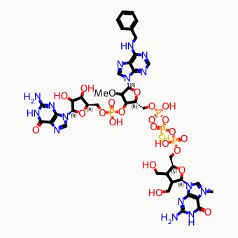 COC1C(OP(=O)(O)OC[C@H]2O[C@@H](n3cnc4c(=O)[nH]c(N)nc43)C(O)C2O)[C@@H](COP(=O)(O)OP(=O)(S)OP(=O)(O)OC[C@H]2O[C@@H](n3c[n+](C)c4c(=O)[nH]c(N)nc43)C(CO)C2CO)O[C@H]1n1cnc2c(NCc3ccccc3)ncnc21